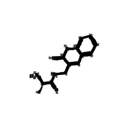 C[C@H](N)C(=O)NCc1cc2ccccc2oc1=O